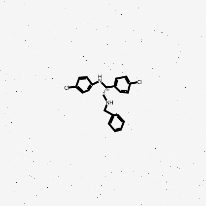 Clc1ccc(N[C@@H](CNCc2ccccc2)c2ccc(Cl)cc2)cc1